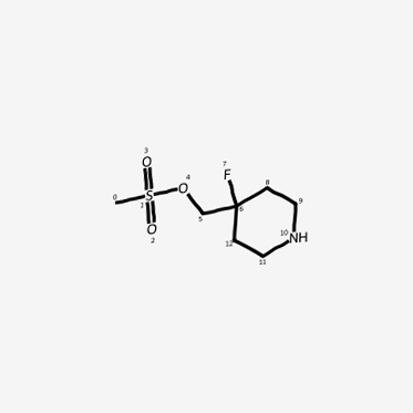 CS(=O)(=O)OCC1(F)CCNCC1